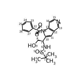 CC(C)(C)[S@@+]([O-])N[C@@H](CO)c1cc2cnccc2n1S(=O)(=O)c1ccccc1